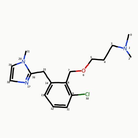 CN(C)CCCOCc1c(Cl)cccc1Cc1nccn1C